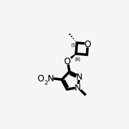 C[C@@H]1OC[C@H]1Oc1nn(C)cc1[N+](=O)[O-]